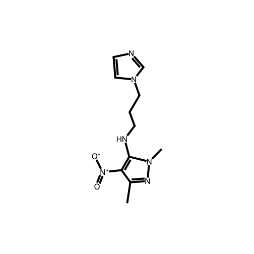 Cc1nn(C)c(NCCCn2ccnc2)c1[N+](=O)[O-]